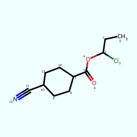 CCC(Cl)OC(=O)C1CCC(C#N)CC1